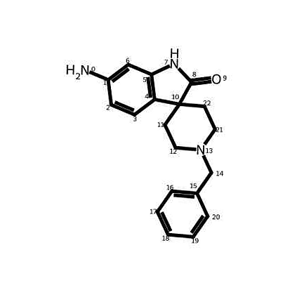 Nc1ccc2c(c1)NC(=O)C21CCN(Cc2ccccc2)CC1